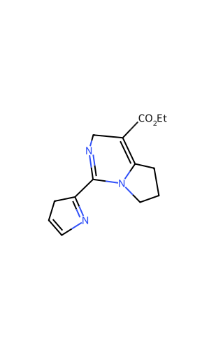 CCOC(=O)C1=C2CCCN2C(C2=NC=CC2)=NC1